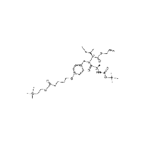 C=CCOC(=O)[C@H](C(C)CC)N(Cc1ccc(OCCCCC(=O)OCC[Si](C)(C)C)cc1)C(=O)[C@@H](C)NC(=O)OC(C)(C)C